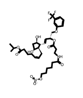 CC(C)OC(=O)CCC/C=C\C[C@@H]1[C@@H](/C=C/[C@H](COc2cccc(C(F)(F)F)c2)OC(=O)CCNC(=O)CCCCCO[N+](=O)[O-])[C@H](O)C[C@@H]1O